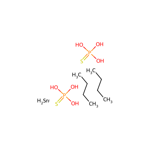 CCCC.CCCC.OP(O)(O)=S.OP(O)(O)=S.[SnH2]